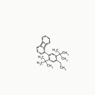 CCc1cc(C(C)(C)C)c(-c2cccc3c2=c2ccccc2=3)cc1C(C)(C)C